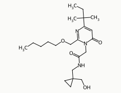 CCCCCOCc1nc(C(C)(C)CC)cc(=O)n1CC(=O)NCC1(CO)CC1